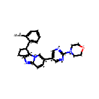 COc1ccccc1C1CCc2nc3ccc(-c4cnc(N5CCOCC5)nc4)cn3c21